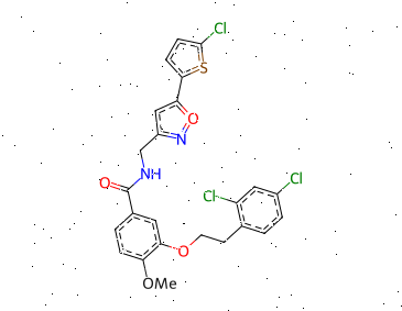 COc1ccc(C(=O)NCc2cc(-c3ccc(Cl)s3)on2)cc1OCCc1ccc(Cl)cc1Cl